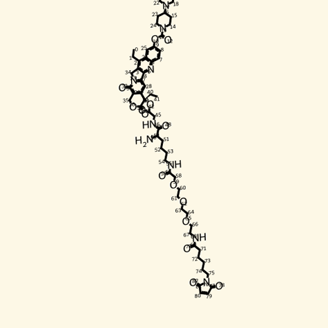 CCc1c2c(nc3ccc(OC(=O)N4CCC(N5CCCCC5)CC4)cc13)-c1cc3c(c(=O)n1C2)COC(=O)[C@@]3(CC)OC(=O)CNC(=O)C(N)CCCCNC(=O)COCCOCCOCCNC(=O)CCCCCN1C(=O)C=CC1=O